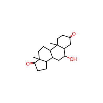 CC12CCC3C(CC(O)C4CC(=O)CCC43C)C1CCC2=O